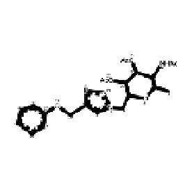 CC(=O)NC1C(C)OC(Cn2cc(COc3ccccc3)nn2)C(OC(C)=O)C1OC(C)=O